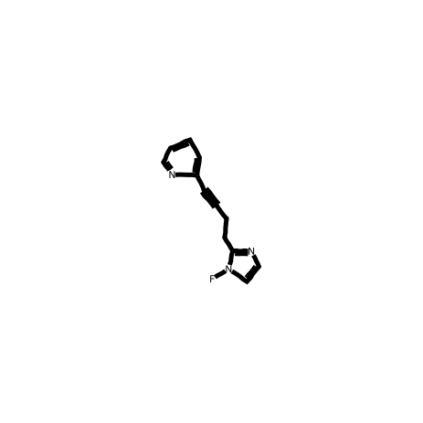 Fn1ccnc1CCC#Cc1ccccn1